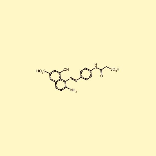 Nc1ccc2cc(S(=O)(=O)O)cc(O)c2c1N=Nc1ccc(NC(=O)CS(=O)(=O)O)cc1